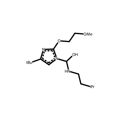 COCCOc1nc(C(C)(C)C)cn1C(O)NCCC(C)C